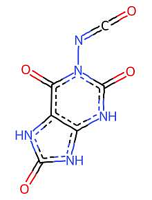 O=C=Nn1c(=O)[nH]c2[nH]c(=O)[nH]c2c1=O